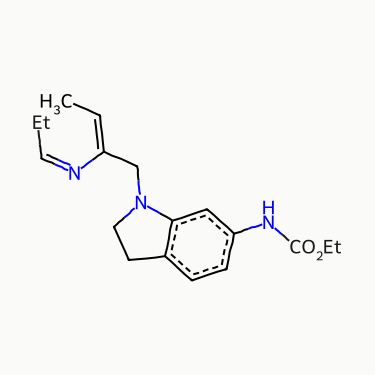 C/C=C(CN1CCc2ccc(NC(=O)OCC)cc21)\N=C/CC